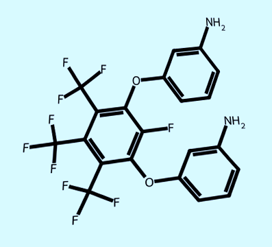 Nc1cccc(Oc2c(F)c(Oc3cccc(N)c3)c(C(F)(F)F)c(C(F)(F)F)c2C(F)(F)F)c1